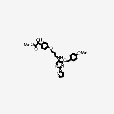 C=C(C(=O)OC)c1ccc(OCCCNc2cnc(-n3cccn3)nc2OCc2ccc(OC)cc2)cc1